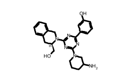 NC1CCCN(c2nc(-c3cccc(O)c3)nc(N3Cc4ccccc4C[C@@H]3CO)n2)C1